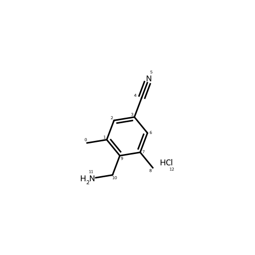 Cc1cc(C#N)cc(C)c1CN.Cl